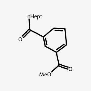 CCCCCCCC(=O)c1cccc(C(=O)OC)c1